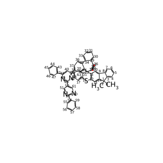 CC1(C)c2ccccc2-c2cc3c(cc21)Sc1ccccc1C31c2ccccc2-c2ccccc2-c2ccc(-c3cc(-c4ccccc4)nc(-c4cnc(-c5ccccc5)nc4)n3)cc21